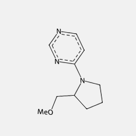 COCC1CCCN1c1ccncn1